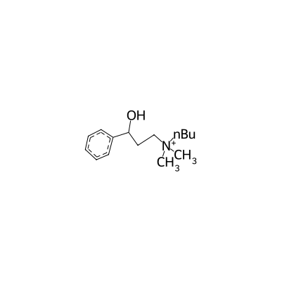 CCCC[N+](C)(C)CCC(O)c1ccccc1